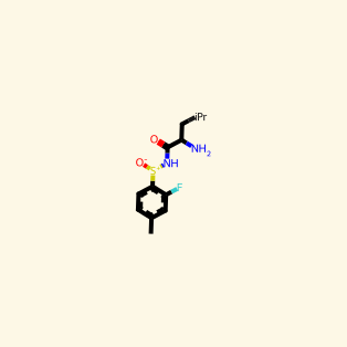 Cc1ccc([S+]([O-])NC(=O)C(N)CC(C)C)c(F)c1